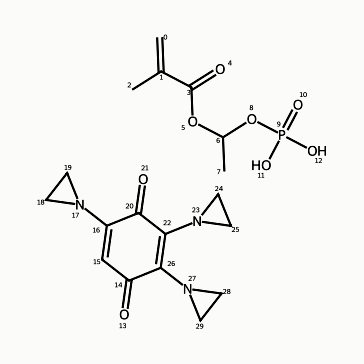 C=C(C)C(=O)OC(C)OP(=O)(O)O.O=C1C=C(N2CC2)C(=O)C(N2CC2)=C1N1CC1